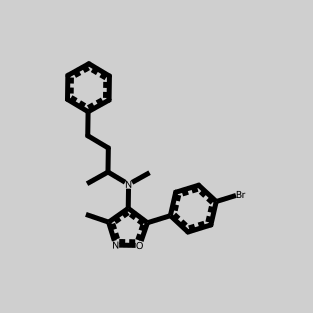 Cc1noc(-c2ccc(Br)cc2)c1N(C)C(C)CCc1ccccc1